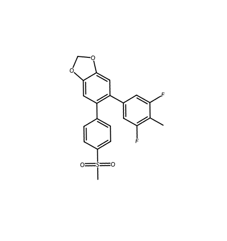 Cc1c(F)cc(-c2cc3c(cc2-c2ccc(S(C)(=O)=O)cc2)OCO3)cc1F